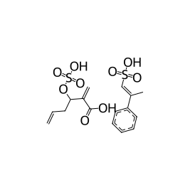 C=CCC(OS(=O)(=O)O)C(=C)C(=O)O.CC(=CS(=O)(=O)O)c1ccccc1